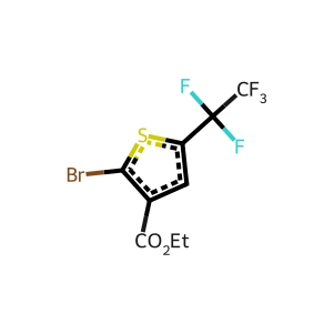 CCOC(=O)c1cc(C(F)(F)C(F)(F)F)sc1Br